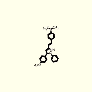 COc1ccc(C2C=C(C=Cc3ccc(N(C)C)cc3)NN2c2ccccc2)cc1